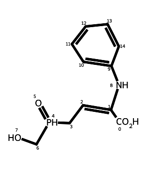 O=C(O)C(=CC[PH](=O)CO)Nc1ccccc1